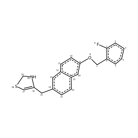 Fc1ccccc1COc1ccc2cc(CC3=CSCN3)ccc2c1